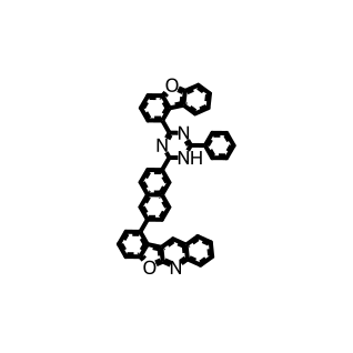 c1ccc(C2=NC(c3cccc4oc5ccccc5c34)=NC(c3ccc4cc(-c5cccc6oc7nc8ccccc8cc7c56)ccc4c3)N2)cc1